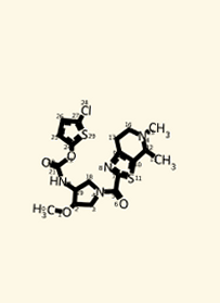 COC1CN(C(=O)c2nc3c(s2)C(C)N(C)CC3)CC1NC(=O)Oc1ccc(Cl)s1